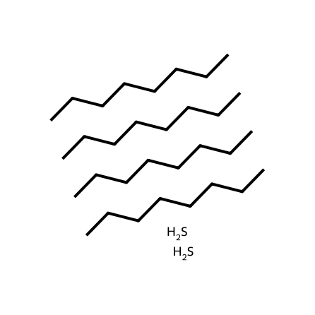 CCCCCCCC.CCCCCCCC.CCCCCCCC.CCCCCCCC.S.S